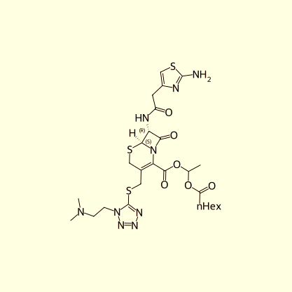 CCCCCCC(=O)OC(C)OC(=O)C1=C(CSc2nnnn2CCN(C)C)CS[C@H]2[C@H](NC(=O)Cc3csc(N)n3)C(=O)N12